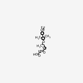 Cc1cc(OCC(C)Cc2ccc(C(=O)NCCC(=O)O)s2)cc(C)c1-c1ccc(OC(F)(F)F)cc1